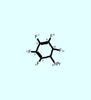 CCCC1C(F)=C(F)C(F)=C(F)C1F